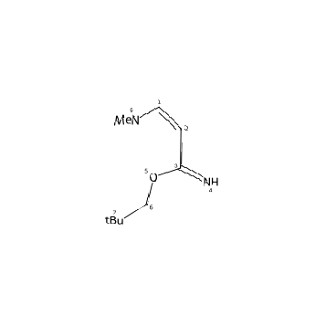 CN/C=C\C(=N)OCC(C)(C)C